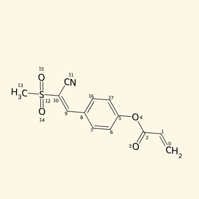 C=CC(=O)Oc1ccc(/C=C(\C#N)S(C)(=O)=O)cc1